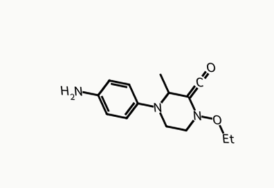 CCON1CCN(c2ccc(N)cc2)C(C)C1=C=O